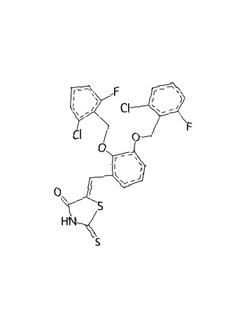 O=C1NC(=S)S/C1=C\c1cccc(OCc2c(F)cccc2Cl)c1OCc1c(F)cccc1Cl